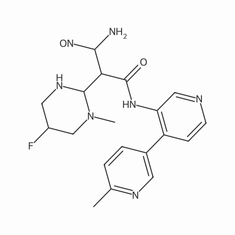 Cc1ccc(-c2ccncc2NC(=O)C(C(N)N=O)C2NCC(F)CN2C)cn1